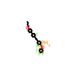 CCCCOc1ccc(-c2ccc(C#Cc3cc(F)c(C(F)(F)Oc4cc(F)c(F)c(F)c4)c(P)c3)c(F)c2)cc1